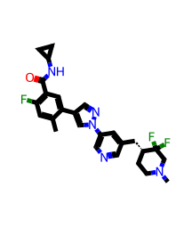 Cc1cc(F)c(C(=O)NC2CC2)cc1-c1cnn(-c2cncc(C[C@H]3CCN(C)CC3(F)F)c2)c1